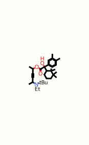 CCN(C(C)C#CC(C)OC(=O)C(O)(c1ccc(C)c(C)c1)C1CCCC(C)(C)C1(C)C)C(C)(C)C